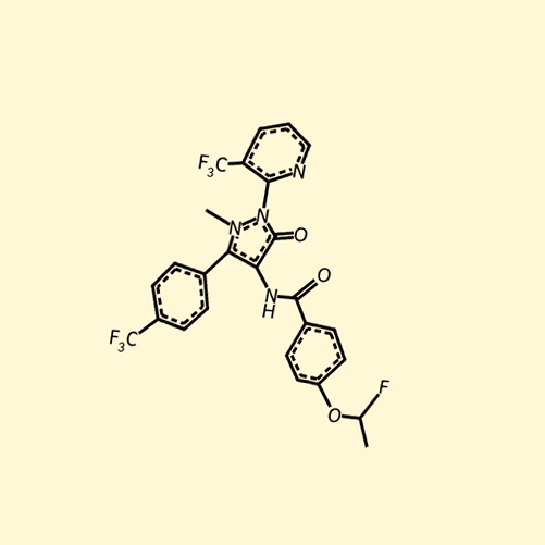 CC(F)Oc1ccc(C(=O)Nc2c(-c3ccc(C(F)(F)F)cc3)n(C)n(-c3ncccc3C(F)(F)F)c2=O)cc1